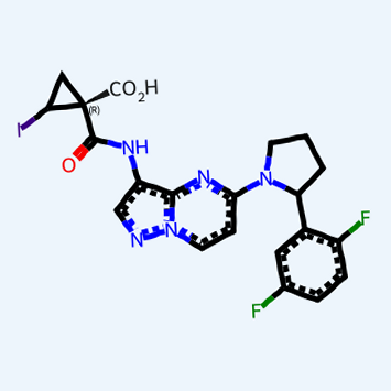 O=C(O)[C@]1(C(=O)Nc2cnn3ccc(N4CCCC4c4cc(F)ccc4F)nc23)CC1I